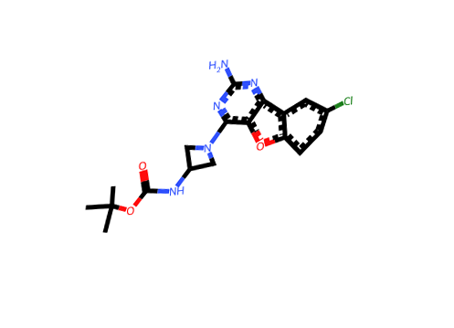 CC(C)(C)OC(=O)NC1CN(c2nc(N)nc3c2oc2ccc(Cl)cc23)C1